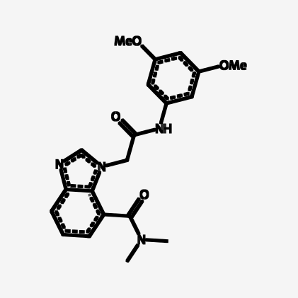 COc1cc(NC(=O)Cn2cnc3cccc(C(=O)N(C)C)c32)cc(OC)c1